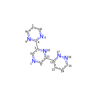 [c]1ncc(-c2ncccn2)nc1-c1cccnn1